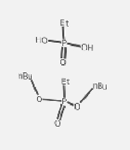 CCCCOP(=O)(CC)OCCCC.CCP(=O)(O)O